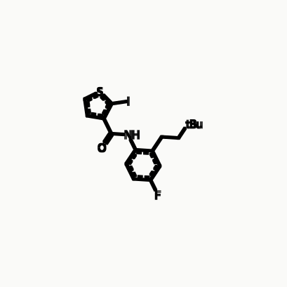 CC(C)(C)CCc1cc(F)ccc1NC(=O)c1ccsc1I